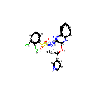 CC(C)(C)C(Oc1nc2ccccc2nc1NS(=O)(=O)c1cccc(Cl)c1Cl)c1cccnc1